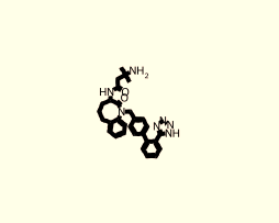 CC(C)(N)CC(=O)NC1CCCc2ccccc2N(Cc2ccc(-c3ccccc3-c3nnn[nH]3)cc2)C1=O